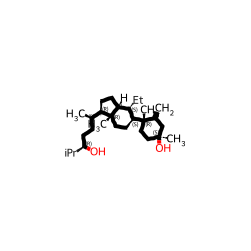 C=C1C[C@@](C)(O)CC[C@]1(C)[C@H]1CC[C@]2(C)[C@@H]([C@H](C)CC[C@@H](O)C(C)C)CC[C@H]2[C@@H]1CC